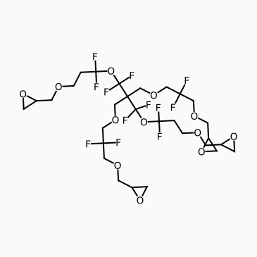 FC(F)(COCC1CO1)COCC(COCC(F)(F)COCC1CO1)(C(F)(F)OC(F)(F)CCOCC1CO1)C(F)(F)OC(F)(F)CCOCC1CO1